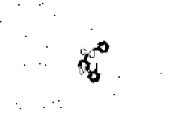 C[n+]1ccc(C(=O)OCc2ccccc2)cc1-c1ccccc1I